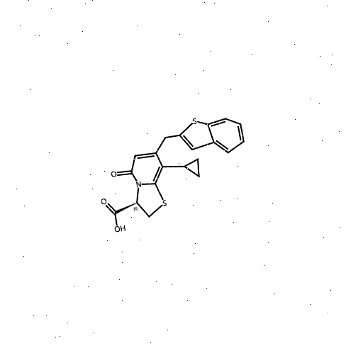 O=C(O)[C@@H]1CSc2c(C3CC3)c(Cc3cc4ccccc4s3)cc(=O)n21